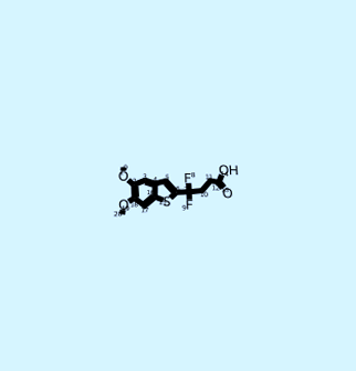 COc1cc2cc(C(F)(F)CCC(=O)O)sc2cc1OC